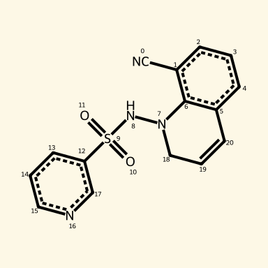 N#Cc1cccc2c1N(NS(=O)(=O)c1cccnc1)CC=C2